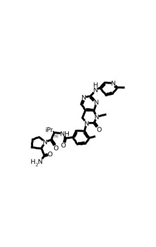 Cc1ccc(Nc2ncc3c(n2)N(C)C(=O)N(c2cc(C(=O)N[C@H](C(=O)N4CCCC4C(N)=O)C(C)C)ccc2C)C3)cn1